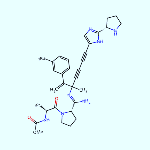 C=C(c1cccc(C(C)(C)C)c1)C(C)(C#CC#Cc1cnc([C@@H]2CCCN2)[nH]1)/N=C(\N)[C@@H]1CCCN1C(=O)[C@@H](NC(=O)OC)C(C)C